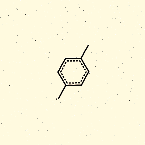 [CH]c1[c]cc(C)cc1